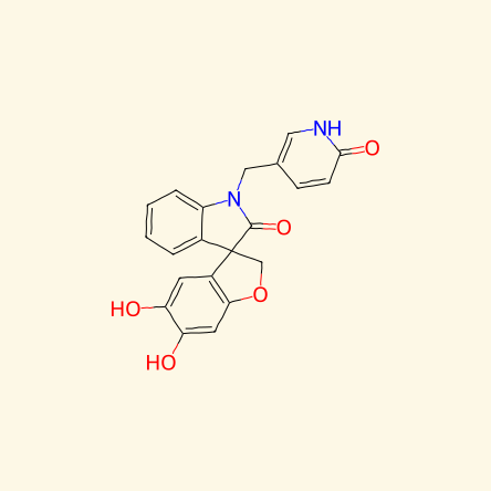 O=C1N(Cc2ccc(=O)[nH]c2)c2ccccc2C12COc1cc(O)c(O)cc12